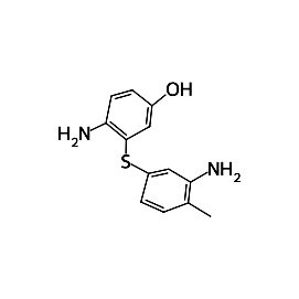 Cc1ccc(Sc2cc(O)ccc2N)cc1N